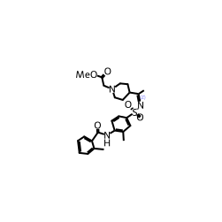 COC(=O)CN1CCC(/C(C)=N\S(=O)(=O)c2ccc(NC(=O)c3ccccc3C)c(C)c2)CC1